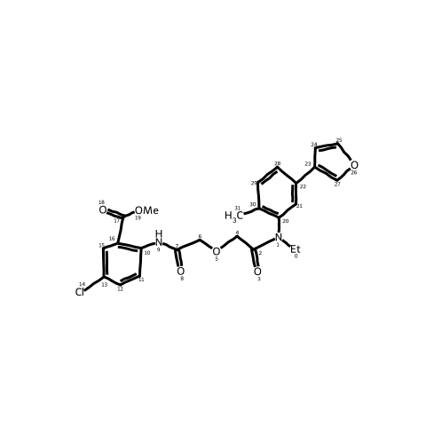 CCN(C(=O)COCC(=O)Nc1ccc(Cl)cc1C(=O)OC)c1cc(-c2ccoc2)ccc1C